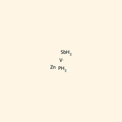 P.[SbH3].[V].[Zn]